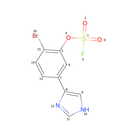 O=S(=O)(F)Oc1cc(-c2c[nH]cn2)ccc1Br